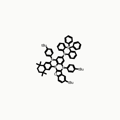 CC(C)(C)c1ccc(N2c3cc4c(cc3B3c5oc6ccc(C(C)(C)C)cc6c5N(c5ccc(C(C)(C)C)cc5)c5cc(N6c7ccccc7[Si](c7ccccc7)(c7ccccc7)c7ccccc76)cc2c53)C(C)(C)CCC4(C)C)cc1